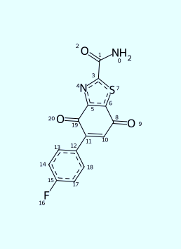 NC(=O)c1nc2c(s1)C(=O)C=C(c1ccc(F)cc1)C2=O